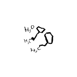 CC=Cc1ccccc1.CC=Cc1ccccc1.O